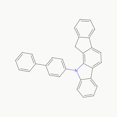 c1ccc(-c2ccc(-n3c4ccccc4c4ccc5c(c43)Cc3ccccc3-5)cc2)cc1